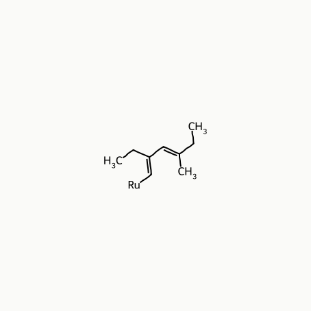 CCC(C)=CC(=[CH][Ru])CC